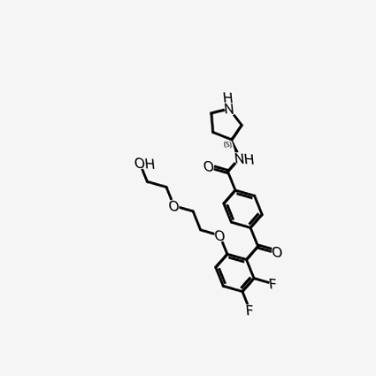 O=C(N[C@H]1CCNC1)c1ccc(C(=O)c2c(OCCOCCO)ccc(F)c2F)cc1